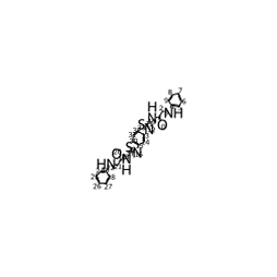 O=C(CNc1ccccc1)Nc1nc2cc3nc(NC(=O)CNc4ccccc4)sc3cc2s1